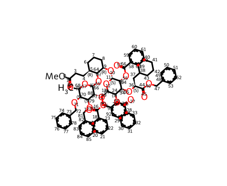 COC(=O)CC[C@H]1CCC[C@@H](O[C@H]2O[C@H](COC(=O)c3ccccc3)[C@H](OC(=O)c3ccccc3)[C@H](O[C@@H](CC3CCCCC3)C(=O)OCc3ccccc3)[C@H]2OC(=O)c2ccccc2)[C@H]1O[C@@H]1O[C@H](C)[C@H](OCc2ccccc2)[C@H](OCc2ccccc2)[C@H]1OCc1ccccc1